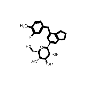 Cc1ccc(Cc2cc([C@@H]3O[C@H](CO)[C@@H](O)[C@H](O)[C@H]3O)cc3c2CCC3)cc1F